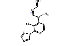 CN(/C=N\C=N)c1ncnc(-n2cncn2)c1Cl